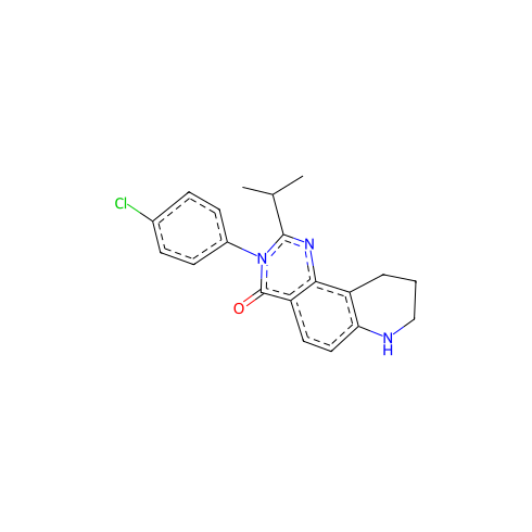 CC(C)c1nc2c3c(ccc2c(=O)n1-c1ccc(Cl)cc1)NCCC3